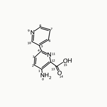 Nc1ccc(-c2cccnc2)nc1C(=O)O